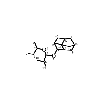 CCC(C)OC(OC1C2CC3CC(C2)CC1C3)C(C)C